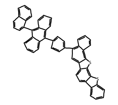 c1ccc2c(-c3c4ccccc4c(-c4ccc(-c5cc6c7ccc8c9ccccc9sc8c7sc6c6ccccc56)cc4)c4ccccc34)cccc2c1